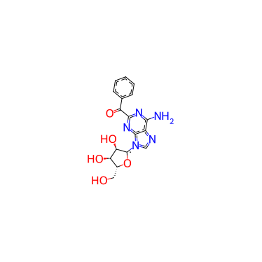 Nc1nc(C(=O)c2ccccc2)nc2c1ncn2[C]1O[C@H](CO)[C@@H](O)[C@H]1O